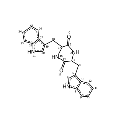 O=C1NC(Cc2c[nH]c3ccccc23)C(=O)NC1Cc1c[nH]c2ccccc12